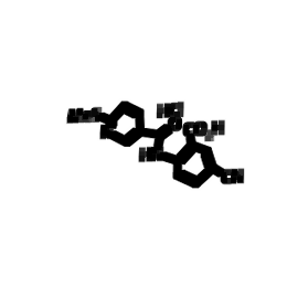 CSc1ccc(C(=O)Nc2ccc(C#N)cc2C(=O)O)cn1.Cl